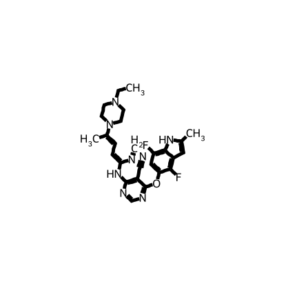 C=N/C(=C\C=C(/C)N1CCN(CC)CC1)Nc1ncnc(Oc2cc(F)c3[nH]c(C)cc3c2F)c1C#N